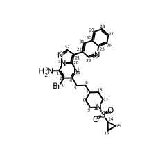 Nc1c(Br)c(CCC2CCN(S(=O)(=O)C3CC3)CC2)nc2c(-c3cnc4ccccc4c3)cnn12